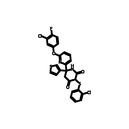 O=C1CC(c2ccsc2)(c2cccc(Oc3ccc(F)c(Cl)c3)n2)NC(=O)C1Sc1ccccc1Cl